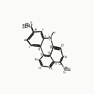 CN1c2cc(C(C)(C)C)ccc2-c2cccc3c(C(C)(C)C)ccc1c23